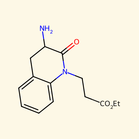 CCOC(=O)CCN1C(=O)C(N)Cc2ccccc21